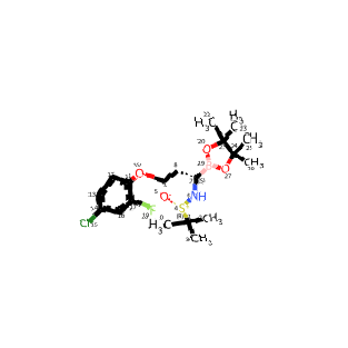 CC(C)(C)[S@+]([O-])N[C@H](CCOc1ccc(Cl)cc1F)B1OC(C)(C)C(C)(C)O1